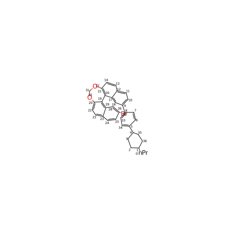 CCCC1CCC(c2ccc(-c3ccc4ccc5c(c4c3)-c3c(ccc4ccc(Br)cc34)OCO5)cc2)CC1